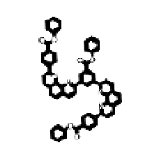 O=C(Oc1ccccc1)c1ccc(-c2ccc3ccc4ccc(-c5cc(C(=O)Oc6ccccc6)cc(-c6ccc7ccc8ccc(-c9ccc(C(=O)Oc%10ccccc%10)cc9)nc8c7n6)c5)nc4c3n2)cc1